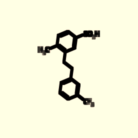 Cc1ccc(S(=O)(=O)O)cc1CCc1cccc(C(F)(F)F)c1